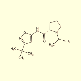 CC(C)N1CCC[C@H]1C(=O)Nc1cc(C(C)(C)C)no1